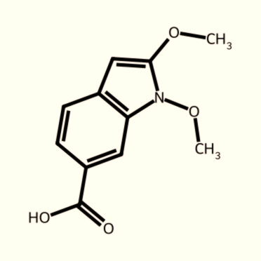 COc1cc2ccc(C(=O)O)cc2n1OC